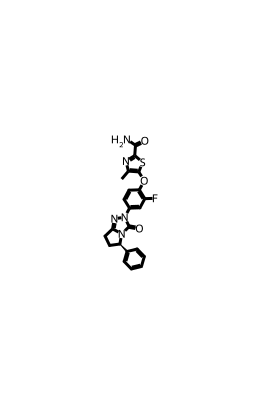 Cc1nc(C(N)=O)sc1Oc1ccc(-n2nc3n(c2=O)[C@@H](c2ccccc2)CC3)cc1F